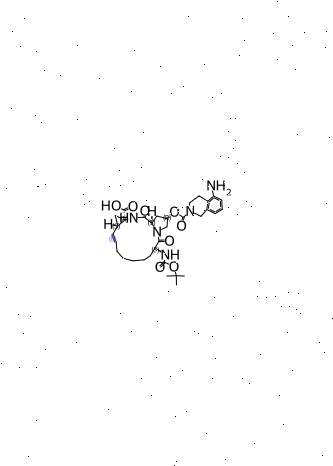 CC(C)(C)OC(=O)N[C@H]1CCCCC/C=C/[C@@H]2C[C@@]2(C(=O)O)NC(=O)[C@@H]2C[C@@H](OC(=O)N3CCc4c(N)cccc4C3)CN2C1=O